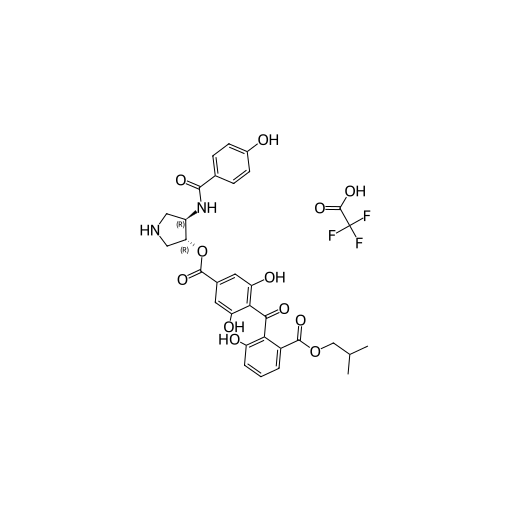 CC(C)COC(=O)c1cccc(O)c1C(=O)c1c(O)cc(C(=O)O[C@@H]2CNC[C@H]2NC(=O)c2ccc(O)cc2)cc1O.O=C(O)C(F)(F)F